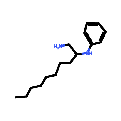 CCCCCCCCC(CN)Nc1ccccc1